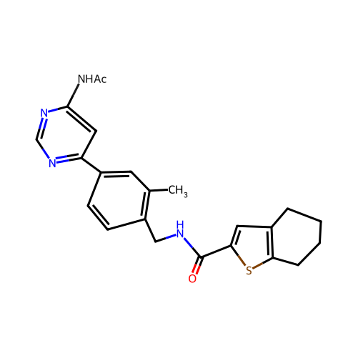 CC(=O)Nc1cc(-c2ccc(CNC(=O)c3cc4c(s3)CCCC4)c(C)c2)ncn1